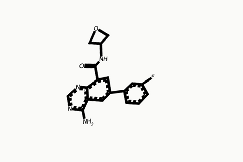 Nc1ncnc2c(C(=O)NC3COC3)cc(-c3cccc(F)c3)cc12